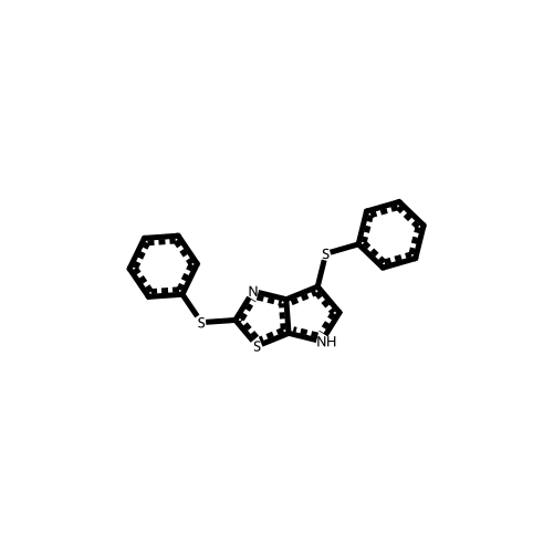 c1ccc(Sc2nc3c(Sc4ccccc4)c[nH]c3s2)cc1